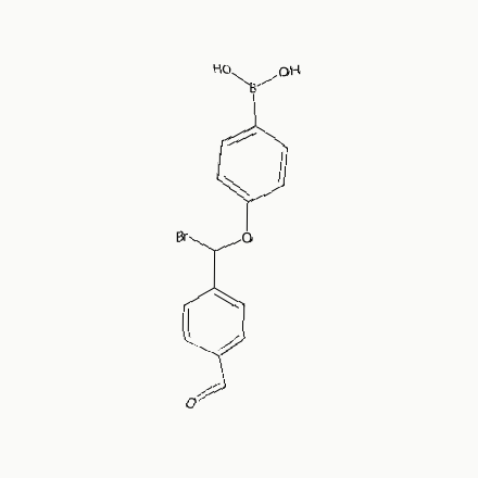 O=Cc1ccc(C(Br)Oc2ccc(B(O)O)cc2)cc1